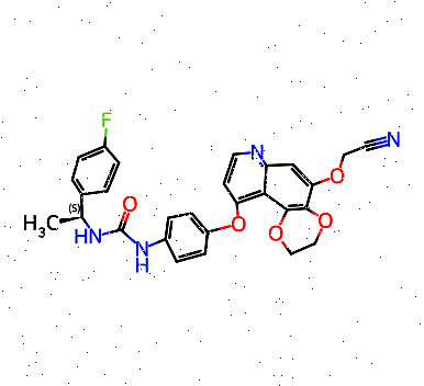 C[C@H](NC(=O)Nc1ccc(Oc2ccnc3cc(OCC#N)c4c(c23)OCCO4)cc1)c1ccc(F)cc1